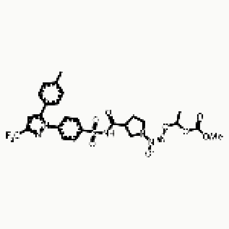 COC(=O)OC(C)O/N=[N+](/[O-])N1CCC(C(=O)NS(=O)(=O)c2ccc(-n3nc(C(F)(F)F)cc3-c3ccc(C)cc3)cc2)C1